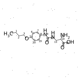 CCCCOc1ccc(NC(=O)NCC(N)C(=O)O)cc1